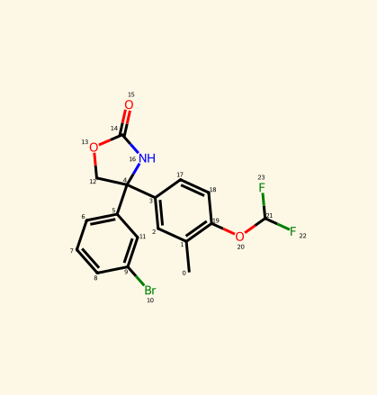 Cc1cc(C2(c3cccc(Br)c3)COC(=O)N2)ccc1OC(F)F